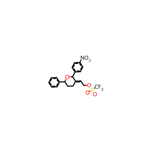 O=[N+]([O-])c1ccc(C2OC(c3ccccc3)CCC2=CCOS(=O)(=O)C(F)(F)F)cc1